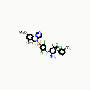 COc1ccc(CN(c2ccncn2)S(=O)(=O)c2cc(Cl)c(N[C@H]3C[C@H]4C(Cl)(Cl)[C@@]4(c4cccc(C(F)(F)F)c4)C[C@@H]3N)cc2F)c(OC)c1